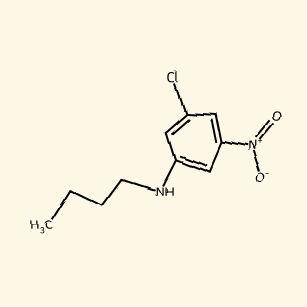 CCCCNc1cc(Cl)cc([N+](=O)[O-])c1